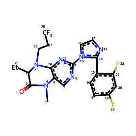 CCC1C(=O)N(C)c2cnc(-n3ccnc3-c3ccc(F)cc3F)nc2N1CCC(F)(F)F